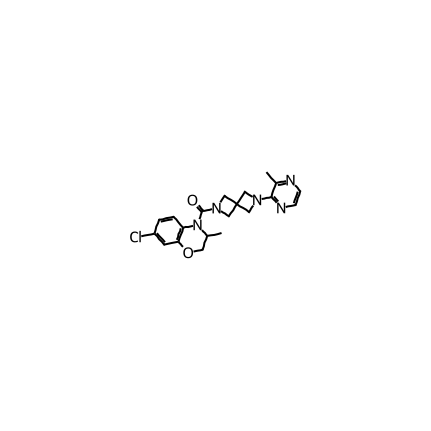 Cc1nccnc1N1CC2(CN(C(=O)N3c4ccc(Cl)cc4OCC3C)C2)C1